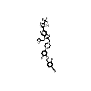 N#Cc1ccc(COc2cc(N3CCN(Cc4nc5cc(-c6nnc(C(F)(F)F)[nH]6)ncc5n4CC4CCO4)CC3)ccc2F)c(F)c1